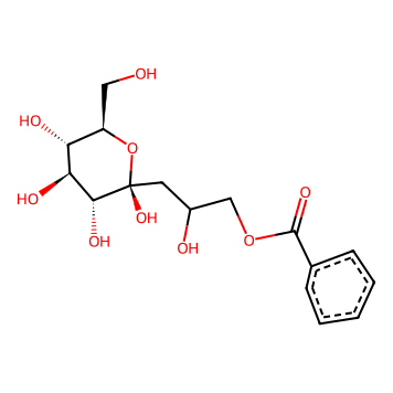 O=C(OCC(O)C[C@@]1(O)O[C@H](CO)[C@@H](O)[C@H](O)[C@H]1O)c1ccccc1